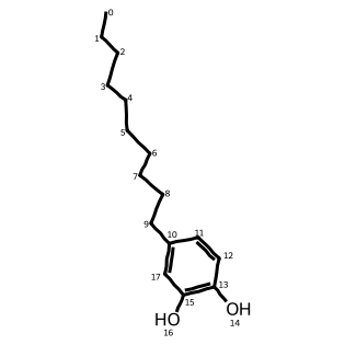 CCCCCCCCCCc1ccc(O)c(O)c1